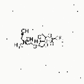 C#CC[N+](C)(C)CCO[C@H]1CO[C@H]2[C@@H]1OC[C@H]2OC(=O)C(F)(F)F